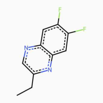 CCc1cnc2cc(F)c(F)cc2n1